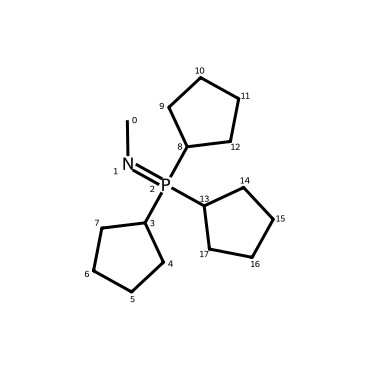 CN=P(C1CCCC1)(C1CCCC1)C1CCCC1